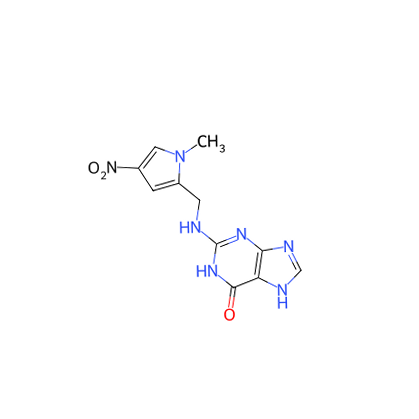 Cn1cc([N+](=O)[O-])cc1CNc1nc2nc[nH]c2c(=O)[nH]1